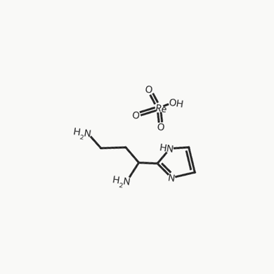 NCCC(N)c1ncc[nH]1.[O]=[Re](=[O])(=[O])[OH]